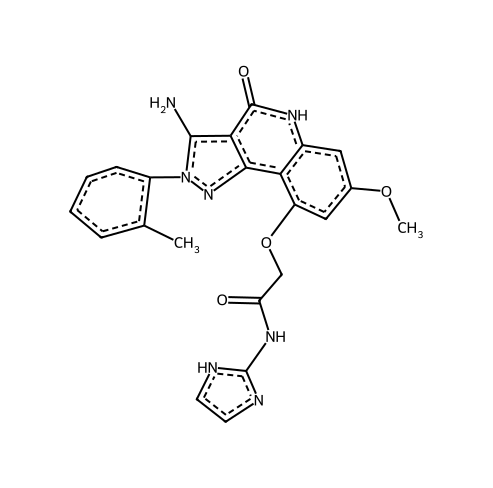 COc1cc(OCC(=O)Nc2ncc[nH]2)c2c(c1)[nH]c(=O)c1c(N)n(-c3ccccc3C)nc12